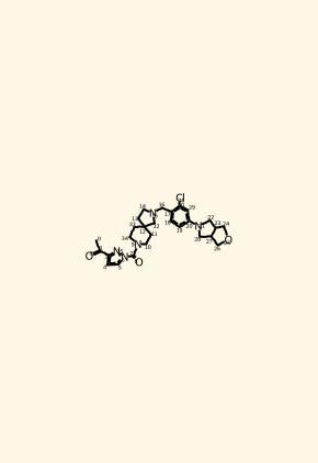 CC(=O)c1ccn(C(=O)N2CCC3(CCN(Cc4ccc(N5CC6COCC6C5)cc4Cl)C3)CC2)n1